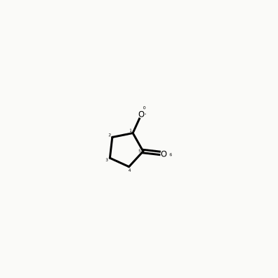 [O]C1CCCC1=O